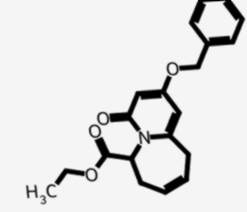 CCOC(=O)C1CC=CCc2cc(OCc3ccccc3)cc(=O)n21